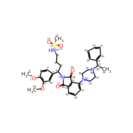 COc1ccc(C(CCCNS(C)(=O)=O)N2C(=O)c3cccc(N4CCN([C@H](C)c5ccccc5)CC4)c3C2=O)cc1OC